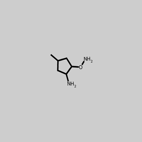 CC1CC(N)C(ON)C1